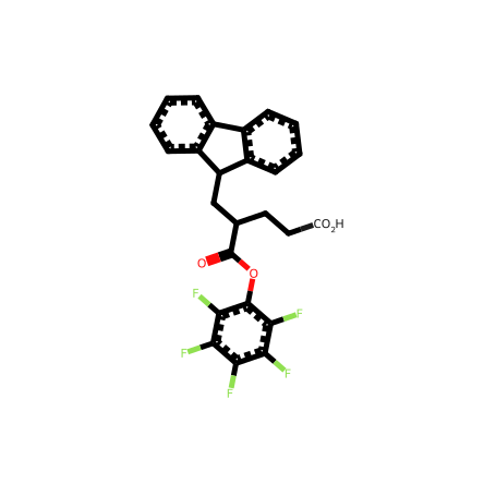 O=C(O)CCC(CC1c2ccccc2-c2ccccc21)C(=O)Oc1c(F)c(F)c(F)c(F)c1F